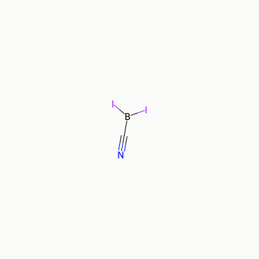 N#CB(I)I